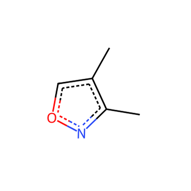 Cc1conc1C